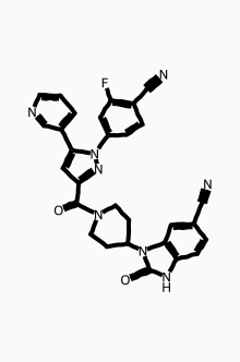 N#Cc1ccc2[nH]c(=O)n(C3CCN(C(=O)c4cc(-c5cccnc5)n(-c5ccc(C#N)c(F)c5)n4)CC3)c2c1